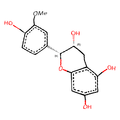 COc1cc([C@H]2Oc3cc(O)cc(O)c3C[C@H]2O)ccc1O